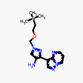 C[Si](C)(C)CCOCn1cc(N)c(-c2cnn3cccnc23)n1